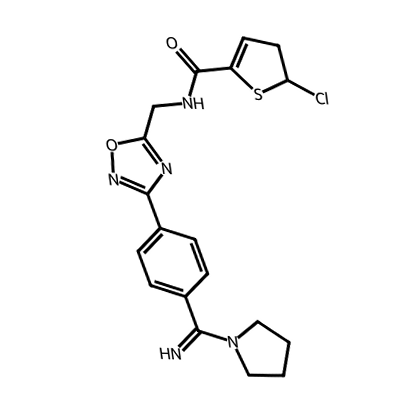 N=C(c1ccc(-c2noc(CNC(=O)C3=CCC(Cl)S3)n2)cc1)N1CCCC1